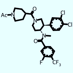 CC(=O)N1CCC(C(=O)N2CC[C@@H](N(C)C(=O)c3ccc(C(F)(F)F)c(F)c3)[C@H](c3ccc(Cl)c(Cl)c3)C2)CC1